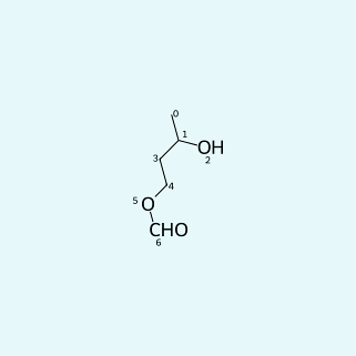 CC(O)CCOC=O